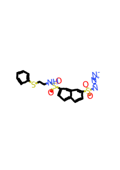 [N-]=[N+]=NS(=O)(=O)c1ccc2ccc(S(=O)(=O)NCCSc3ccccc3)cc2c1